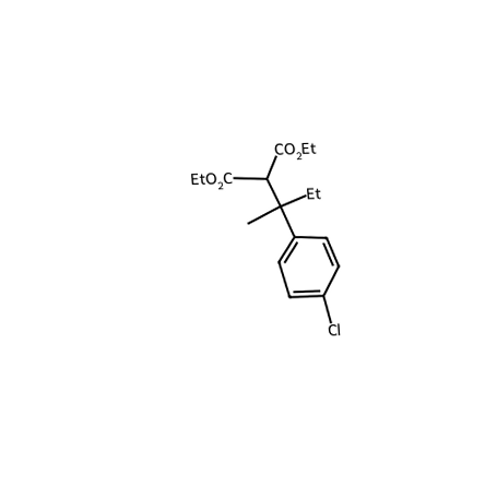 CCOC(=O)C(C(=O)OCC)C(C)(CC)c1ccc(Cl)cc1